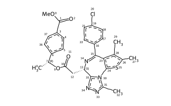 COC(=O)c1ccc([C@@H](C)OC(=O)C[C@@H]2N=C(c3ccc(Cl)cc3)c3c(sc(C)c3C)-n3c(C)nnc32)cc1